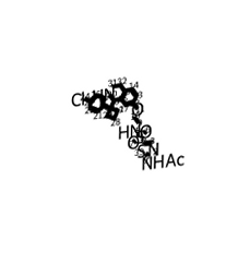 CC(=O)Nc1ncc(S(=O)(=O)NCCOc2ccc3c(c2)C(C2(c4ccc(Cl)cc4)CCC2)NCC3)s1